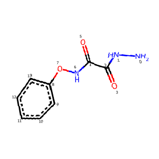 NNC(=O)C(=O)NOc1ccccc1